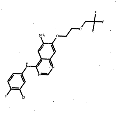 Nc1cc2c(Nc3ccc(F)c(Cl)c3)ncnc2cc1OCCOCC(F)(F)F